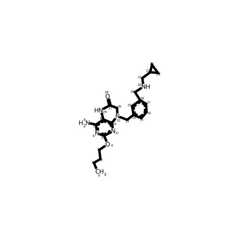 CCCCOc1nc(N)c2c(n1)N(Cc1cccc(CNCC3CC3)c1)CC(=O)N2